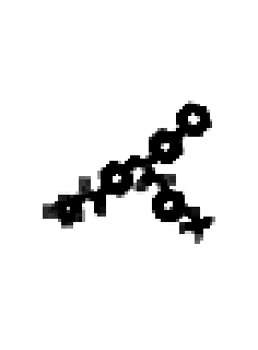 O=C(Nc1nn[nH]n1)c1ccc(CN(C(=O)Nc2cccc(OC(F)(F)F)c2)c2ccc(C3=CCCCC3)cc2)cc1